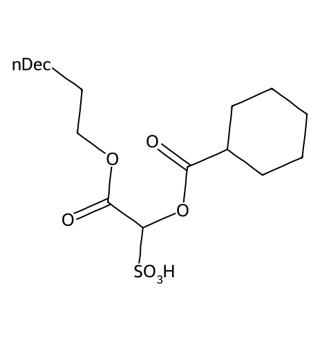 CCCCCCCCCCCCOC(=O)C(OC(=O)C1CCCCC1)S(=O)(=O)O